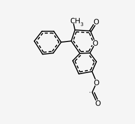 Cc1c(-c2ccccc2)c2ccc(O[C]=O)cc2oc1=O